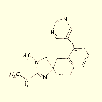 CNC1=NC2(CCc3cccc(-c4cncnc4)c3C2)CN1C